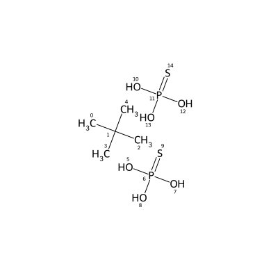 CC(C)(C)C.OP(O)(O)=S.OP(O)(O)=S